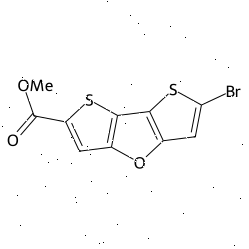 COC(=O)c1cc2oc3cc(Br)sc3c2s1